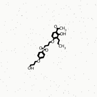 CCCc1c(OCCCS(=O)(=O)c2ccc(OCCCO)cc2)ccc(C(C)=O)c1O